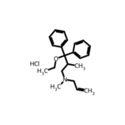 C=CCN(C)CC(C)C(OCC)(c1ccccc1)c1ccccc1.Cl